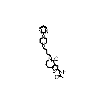 CC(=O)Nc1cc2c(s1)CCCN(CCCCN1CCN(c3ncccn3)CC1)C2=O